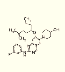 C=C(C)CCC(CCC)Oc1cc2nc(Nc3cccc(F)c3)ncc2cc1N1CCC(O)CC1